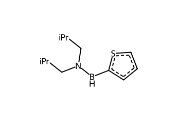 CC(C)CN(Bc1cccs1)CC(C)C